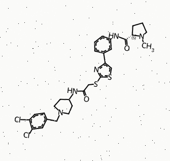 CN1CCC[C@H]1C(=O)Nc1cccc(-c2csc(SCC(=O)NC3CCN(Cc4ccc(Cl)c(Cl)c4)CC3)n2)c1